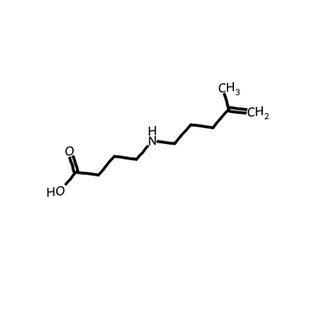 C=C(C)CCCNCCCC(=O)O